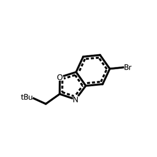 CC(C)(C)Cc1nc2cc(Br)ccc2o1